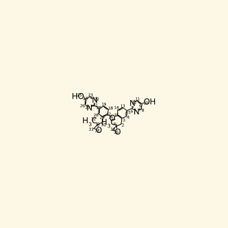 C[C@]1(Cc2cc(-c3ncc(O)cn3)ccc2Oc2ccc(-c3ncc(O)cn3)cc2C[C@@]2(C)CO2)CO1